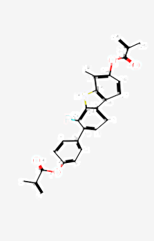 C=C(C)C(=O)Oc1ccc(-c2ccc3c(sc4c(C)c(OC(=O)C(=C)C)ccc43)c2F)cc1